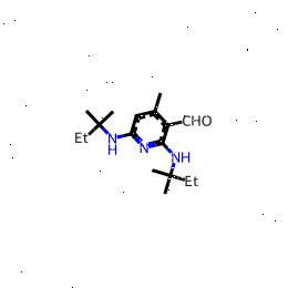 CCC(C)(C)Nc1cc(C)c(C=O)c(NC(C)(C)CC)n1